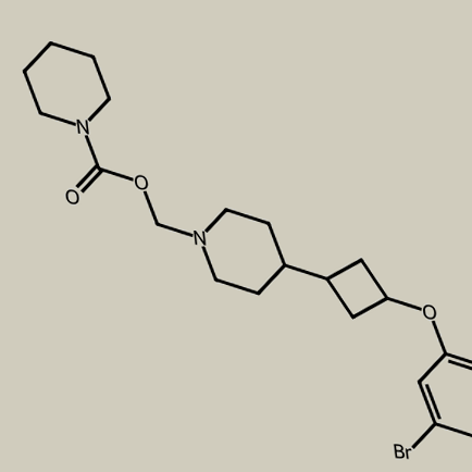 O=C(OCN1CCC(C2CC(Oc3cc(Br)ccn3)C2)CC1)N1CCCCC1